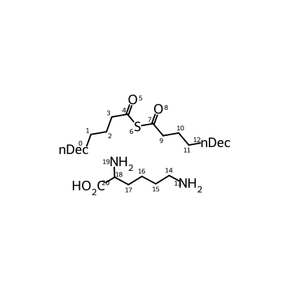 CCCCCCCCCCCCCC(=O)SC(=O)CCCCCCCCCCCCC.NCCCCC(N)C(=O)O